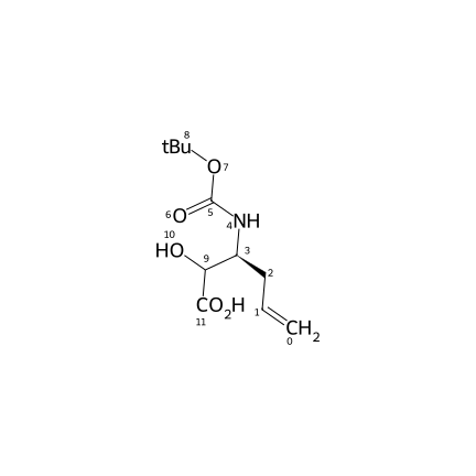 C=CC[C@H](NC(=O)OC(C)(C)C)C(O)C(=O)O